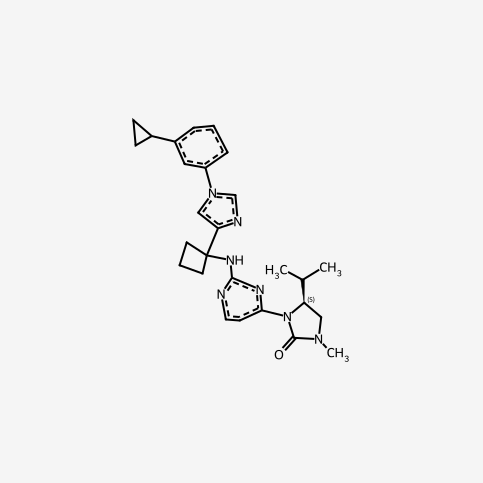 CC(C)[C@H]1CN(C)C(=O)N1c1ccnc(NC2(c3cn(-c4cccc(C5CC5)c4)cn3)CCC2)n1